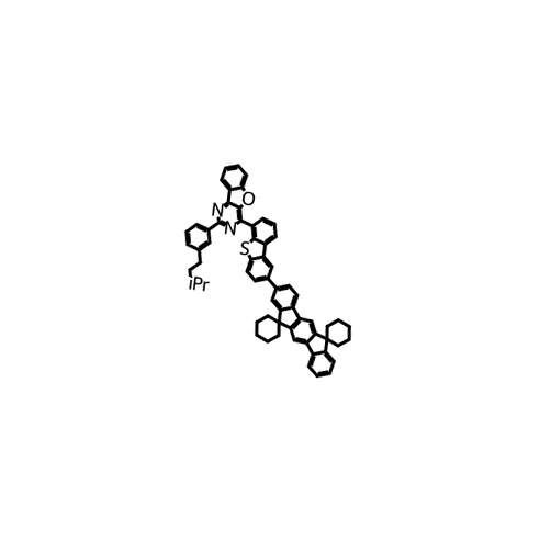 CC(C)CCc1cccc(-c2nc(-c3cccc4c3sc3ccc(-c5ccc6c(c5)C5(CCCCC5)c5cc7c(cc5-6)C5(CCCCC5)c5ccccc5-7)cc34)c3oc4ccccc4c3n2)c1